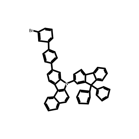 Brc1cccc(-c2ccc(-c3ccc4c5c6ccccc6ccc5n(-c5ccc6c(c5)C(c5ccccc5)(c5ccccc5)c5ccccc5-6)c4c3)cc2)c1